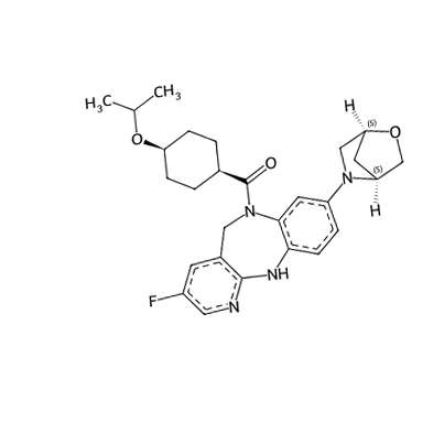 CC(C)O[C@H]1CC[C@@H](C(=O)N2Cc3cc(F)cnc3Nc3ccc(N4C[C@@H]5C[C@H]4CO5)cc32)CC1